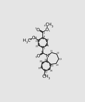 COC(=O)c1ccc(C(=O)N2CCCCc3cc(C)ccc32)cc1OC